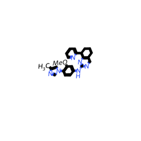 COc1cc(Nc2ncc3c(n2)C(c2ccccn2)CCC3)ccc1-n1cnc(C)c1